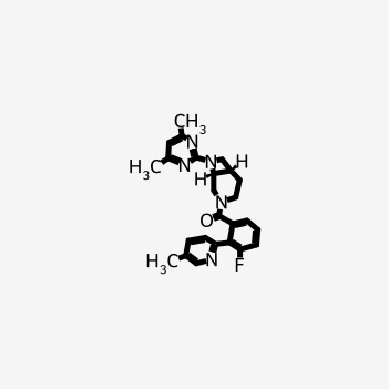 Cc1ccc(-c2c(F)cccc2C(=O)N2CC[C@H]3CN(c4nc(C)cc(C)n4)[C@H]3C2)nc1